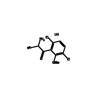 [CH2]CCC(P)C(=O)c1c(Cl)ccc(Cl)c1OC.[LiH]